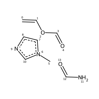 C=COC=O.Cn1ccnc1.NC=O